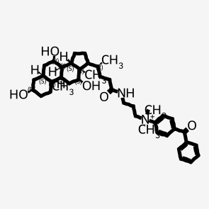 C[C@H](CCC(=O)NCCC[N+](C)(C)c1ccc(C(=O)c2ccccc2)cc1)C1CC[C@H]2[C@@H]3[C@H](O)C[C@@H]4C[C@H](O)CC[C@]4(C)[C@H]3C[C@H](O)[C@]12C